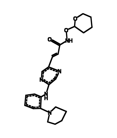 O=C(C=Cc1cnc(Nc2ccccc2N2CCCCC2)cn1)NOC1CCCCO1